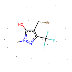 Cn1nc(C(F)(F)F)c(CBr)c1O